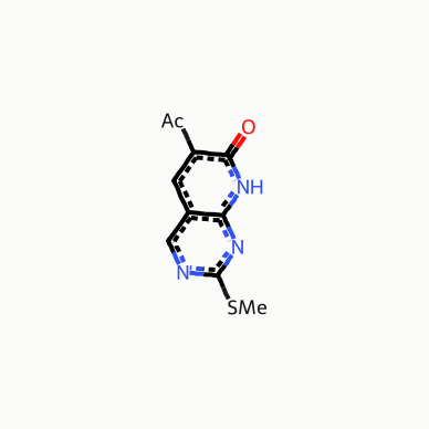 CSc1ncc2cc(C(C)=O)c(=O)[nH]c2n1